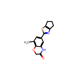 Cc1cc(-c2nc3c(s2)CCC3)cc2c1OCC(=O)N2